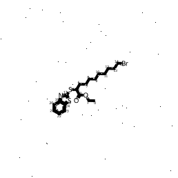 CCOC(=O)C(CCCCCCCCCBr)Sc1nc2ccccc2s1